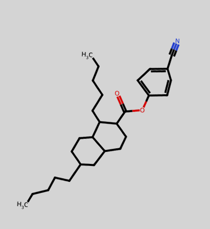 CCCCCC1CCC2C(CCC(C(=O)Oc3ccc(C#N)cc3)C2CCCCC)C1